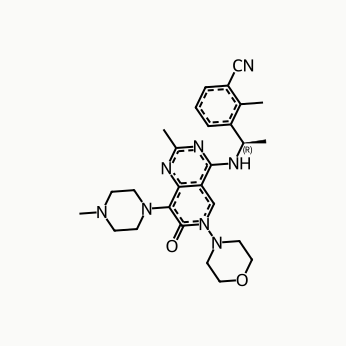 Cc1nc(N[C@H](C)c2cccc(C#N)c2C)c2cn(N3CCOCC3)c(=O)c(N3CCN(C)CC3)c2n1